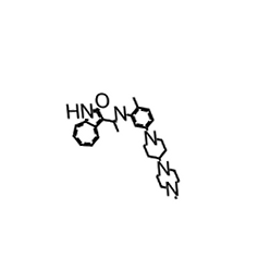 C/C(=N\c1cc(N2CCC(N3CCN(C)CC3)CC2)ccc1C)c1c2cccccc-2[nH]c1=O